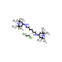 BrCCBr.CC1(C)CC(NCCCCCCNC2CC(C)(C)NC(C)(C)C2)CC(C)(C)N1